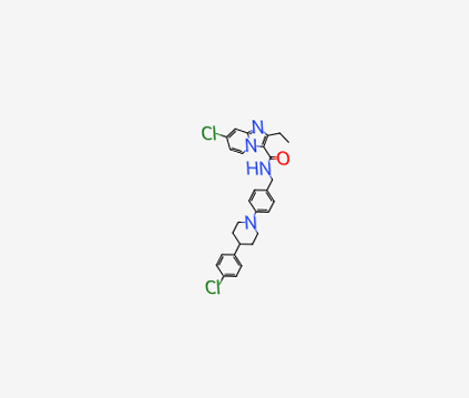 CCc1nc2cc(Cl)ccn2c1C(=O)NCc1ccc(N2CCC(c3ccc(Cl)cc3)CC2)cc1